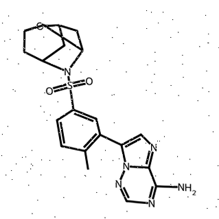 Cc1ccc(S(=O)(=O)N2C3CC4CC2CC(C3)O4)cc1-c1cnc2c(N)ncnn12